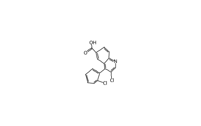 O=C(O)c1ccc2ncc(Cl)c(-c3ccccc3Cl)c2c1